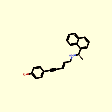 C[C@@H](NC/C=C/C#Cc1ccc(Br)cc1)c1cccc2ccccc12